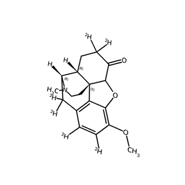 [2H]c1c([2H])c2c3c(c1OC)OC1C(=O)C([2H])([2H])C[C@H]4[C@H](N(C)CC[C@]314)C2([2H])[2H]